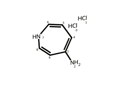 Cl.Cl.NC1=CC=CNC=C1